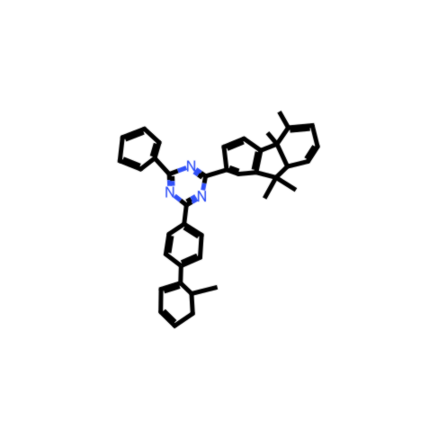 CC1=CC=CC2C(C)(C)c3cc(-c4nc(-c5ccccc5)nc(-c5ccc(C6=CC=CCC6C)cc5)n4)ccc3C12C